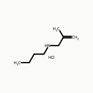 C=C(C)CNCCCC.Cl